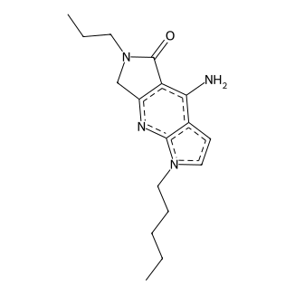 CCCCCn1ccc2c(N)c3c(nc21)CN(CCC)C3=O